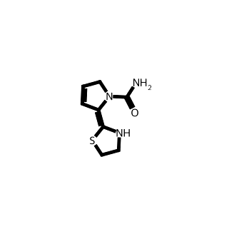 NC(=O)N1CC=CC1=C1NCCS1